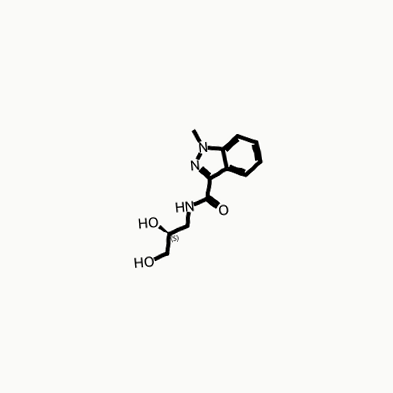 Cn1nc(C(=O)NC[C@H](O)CO)c2ccccc21